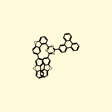 c1ccc2c(c1)oc1cc(-c3ccc4oc5cccc(-c6nc(-c7ccc8c(c7)oc7ccccc78)nc(-c7ccc8c9ccccc9c9ccccc9c8c7)n6)c5c4c3)ccc12